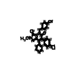 Cn1nc2c(-c3ccncc3)c(-c3ccc(Cl)cc3)c(=O)n(Cc3ccc(C#N)cc3)n2c1=O